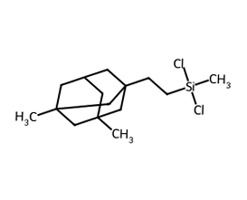 CC12CC3CC(C)(C1)CC(CC[Si](C)(Cl)Cl)(C3)C2